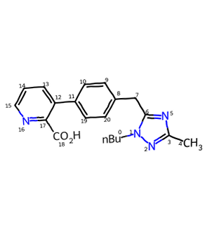 CCCCn1nc(C)nc1Cc1ccc(-c2cccnc2C(=O)O)cc1